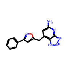 Nc1cc(Cc2cc(-c3ccccc3)no2)c2c(n1)NNN2